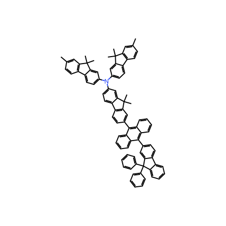 Cc1ccc2c(c1)C(C)(C)c1cc(N(c3ccc4c(c3)C(C)(C)c3cc(C)ccc3-4)c3ccc4c(c3)C(C)(C)c3cc(-c5c6ccccc6c(-c6ccc7c(c6)C(c6ccccc6)(c6ccccc6)c6ccccc6-7)c6ccccc56)ccc3-4)ccc1-2